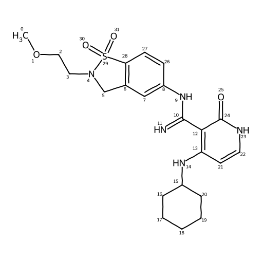 COCCN1Cc2cc(NC(=N)c3c(NC4CCCCC4)cc[nH]c3=O)ccc2S1(=O)=O